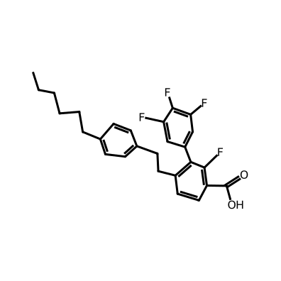 CCCCCCc1ccc(CCc2ccc(C(=O)O)c(F)c2-c2cc(F)c(F)c(F)c2)cc1